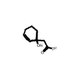 O=C(O)CC1(O)C=CCCC1